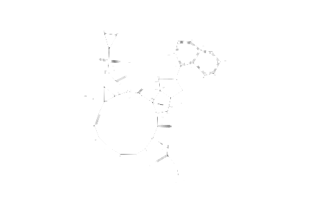 CC(C)(C)OC(=O)N[C@H]1CCCCC/C=C\[C@H]2C[C@@]2(C(=O)NS(=O)(=O)C2CC2)NC(=O)[C@@H]2[C@H]3CN(c4nccc5ccccc45)C[C@H]3CN2C1=O